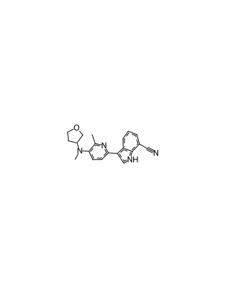 Cc1nc(-c2c[nH]c3c(C#N)cccc23)ccc1N(C)C1CCOC1